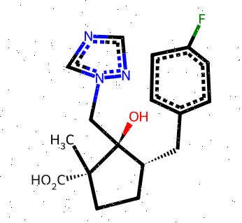 C[C@]1(C(=O)O)CC[C@@H](Cc2ccc(F)cc2)[C@@]1(O)Cn1cncn1